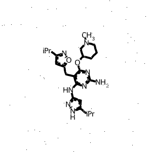 CC(C)c1cc(Cc2c(Nc3cc(C(C)C)[nH]n3)nc(N)nc2OC2CCCN(C)C2)on1